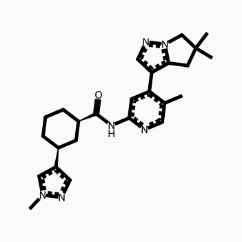 Cc1cnc(NC(=O)[C@@H]2CCC[C@H](c3cnn(C)c3)C2)cc1-c1cnn2c1CC(C)(C)C2